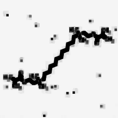 C=C(C)C(=O)OCC[N+](C)(C)CCCCCCCCCCCC[N+](C)(C)CCOC(=O)C(=C)C